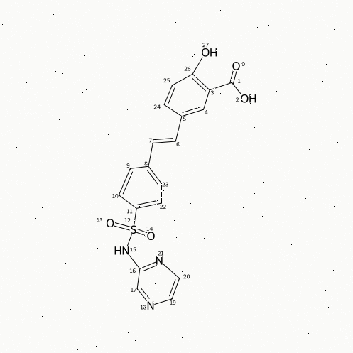 O=C(O)c1cc(C=Cc2ccc(S(=O)(=O)Nc3cnccn3)cc2)ccc1O